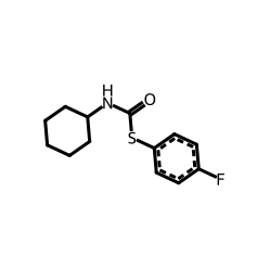 O=C(NC1CCCCC1)Sc1ccc(F)cc1